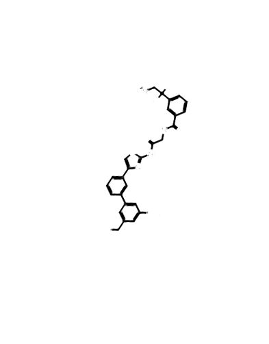 CC(C)(CNC(=O)O)c1cccc(C(=O)NCC(=O)Nc2nc(-c3cccc(-c4cc(CO)cc(C(F)(F)F)c4)c3)cs2)c1